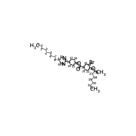 CCCCCCCCCc1cnc(-c2ccc(OC(=O)c3ccc(OC(C)CCCCCC)c(Br)c3)cc2)nc1